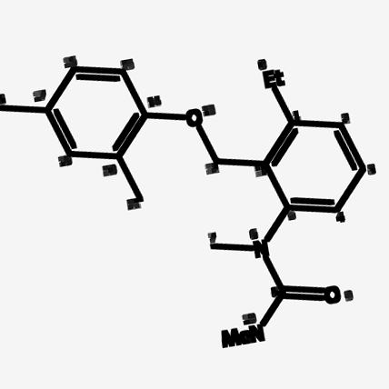 CCc1cccc(N(C)C(=O)NC)c1COc1ccc(C)cc1C